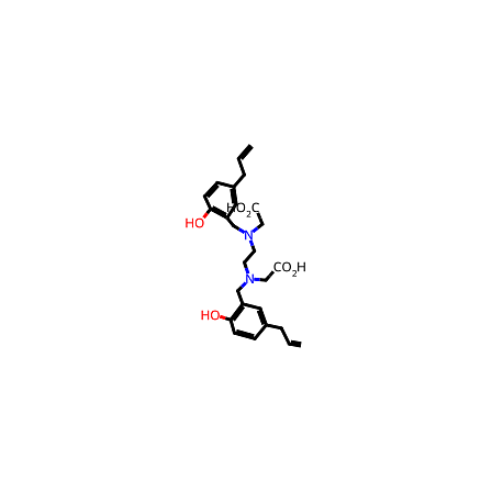 C=CCc1ccc(O)c(CN(CCN(CC(=O)O)Cc2cc(CC=C)ccc2O)CC(=O)O)c1